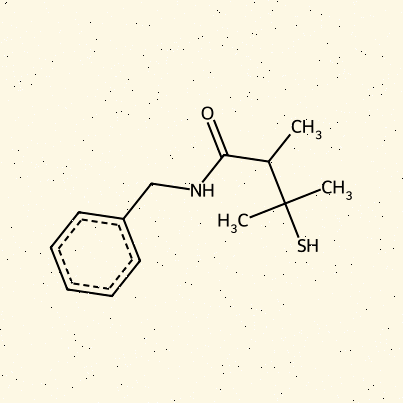 CC(C(=O)NCc1ccccc1)C(C)(C)S